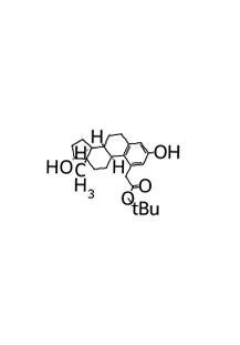 CC(C)(C)OC(=O)Cc1cc(O)cc2c1[C@H]1CC[C@]3(C)[C@H](O)CC[C@H]3[C@@H]1CC2